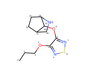 CCCOc1nsnc1OC1C2CCC1NC2